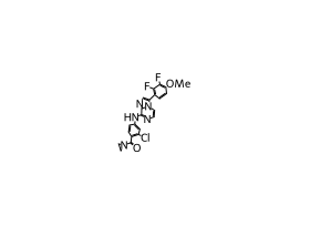 COc1ccc(-c2cnc3c(Nc4ccc(C(=O)N5CC5)c(Cl)c4)nccn23)c(F)c1F